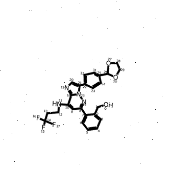 OCc1ccccc1-c1cc(NCCC(F)(F)F)c2ncc(-c3ccc(C4OCCO4)cc3)n2n1